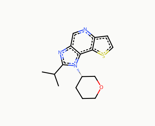 CC(C)c1nc2cnc3ccsc3c2n1[C@H]1CCCOC1